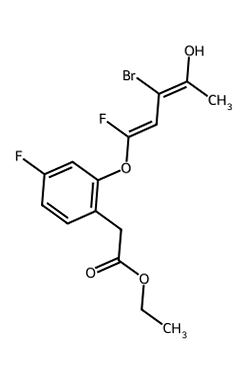 CCOC(=O)Cc1ccc(F)cc1OC(F)=C/C(Br)=C(\C)O